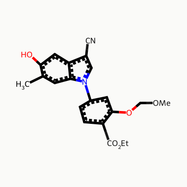 CCOC(=O)c1ccc(-n2cc(C#N)c3cc(O)c(C)cc32)cc1OCOC